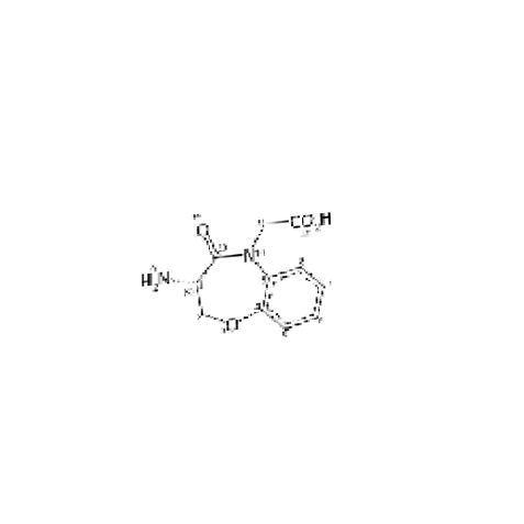 N[C@H]1COc2ccccc2N(CC(=O)O)C1=O